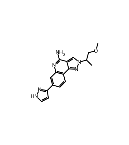 COCC(C)n1cc2c(N)nc3cc(-c4cc[nH]n4)ccc3c2n1